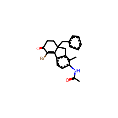 CC(=O)Nc1ccc2c(c1C)CC1(Cc3ccccc3)CCC(=O)C(Br)=C21